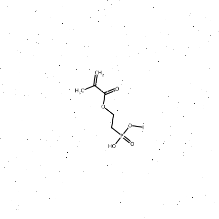 C=C(C)C(=O)OCCP(=O)(O)OI